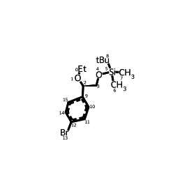 CCO[C@@H](CO[Si](C)(C)C(C)(C)C)c1ccc(Br)cc1